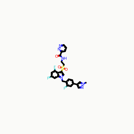 Cn1cc(-c2ccc(Cn3cc(S(=O)(=O)CCNC(=O)c4cccnn4)c4c(F)cc(F)cc43)c(F)c2)cn1